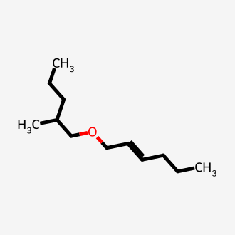 CCCC=CCOCC(C)CCC